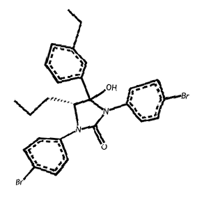 CCC[C@H]1N(c2ccc(Br)cc2)C(=O)N(c2ccc(Br)cc2)C1(O)c1cccc(CC)c1